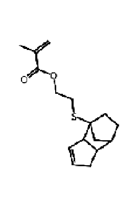 C=C(C)C(=O)OCCSC12CCC(C1)C1CC=CC12